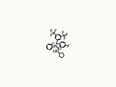 O=C(NC1CCCC1)N[C@](Cc1ccccc1)(c1ccc(F)cc1)c1cc(C(F)(F)F)cc(C(F)(F)F)c1